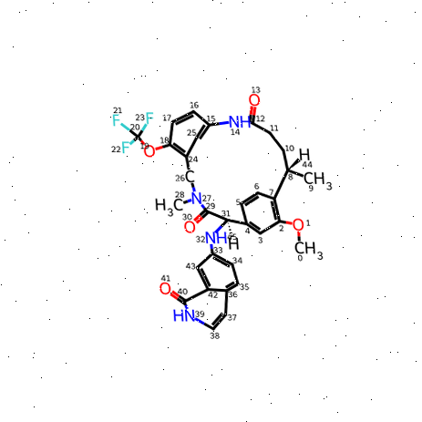 COc1cc2ccc1[C@@H](C)CCC(=O)Nc1ccc(OC(F)(F)F)c(c1)CN(C)C(=O)[C@@H]2Nc1ccc2cc[nH]c(=O)c2c1